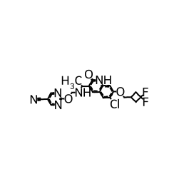 CC(NCOc1ncc(C#N)cn1)c1cc2cc(Cl)c(OCC3CC(F)(F)C3)cc2[nH]c1=O